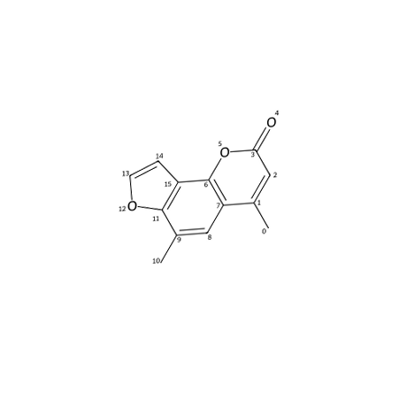 Cc1cc(=O)oc2c1cc(C)c1occc12